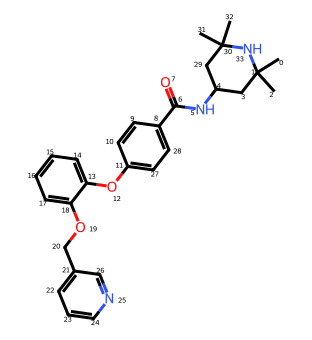 CC1(C)CC(NC(=O)c2ccc(Oc3ccccc3OCc3cccnc3)cc2)CC(C)(C)N1